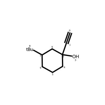 C#CC1(O)CCCC(C(C)(C)C)C1